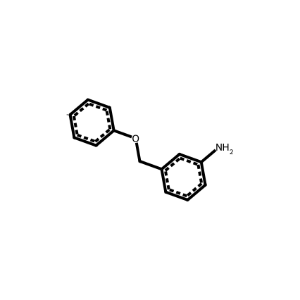 Nc1cccc(COc2cc[c]cc2)c1